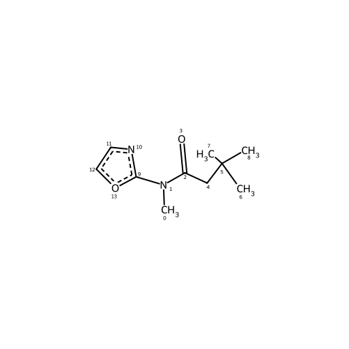 CN(C(=O)CC(C)(C)C)c1ncco1